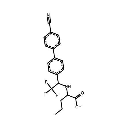 CCCC(NC(c1ccc(-c2ccc(C#N)cc2)cc1)C(F)(F)F)C(=O)O